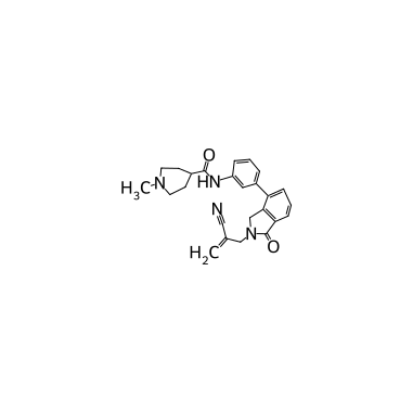 C=C(C#N)CN1Cc2c(cccc2-c2cccc(NC(=O)C3CCN(C)CC3)c2)C1=O